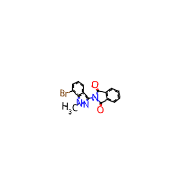 Cn1nc(N2C(=O)c3ccccc3C2=O)c2cccc(Br)c21